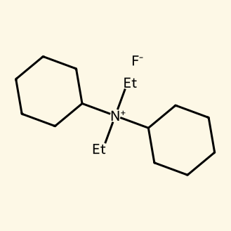 CC[N+](CC)(C1CCCCC1)C1CCCCC1.[F-]